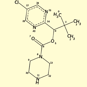 CC(C)(C)C(OC(=O)N1CCNCC1)c1ncc(Cl)cn1